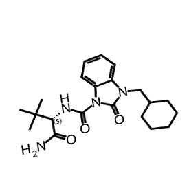 CC(C)(C)[C@H](NC(=O)n1c(=O)n(CC2CCCCC2)c2ccccc21)C(N)=O